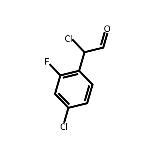 O=CC(Cl)c1ccc(Cl)cc1F